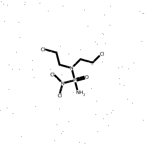 NP(=O)(N(Cl)Cl)N(CCCl)CCCl